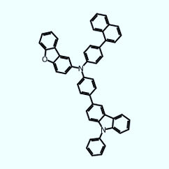 c1ccc(-n2c3ccccc3c3cc(-c4ccc(N(c5ccc(-c6cccc7ccccc67)cc5)c5ccc6oc7ccccc7c6c5)cc4)ccc32)cc1